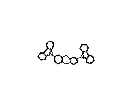 c1ccc2c(c1)c1ccccc1n2-c1ccc2c(c1)Cc1cc(-n3c4ccccc4c4ccccc43)ccc1C2